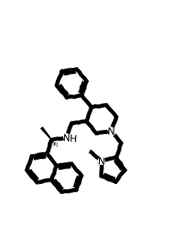 C[C@@H](NCC1CN(Cc2cccn2C)CCC1c1ccccc1)c1cccc2ccccc12